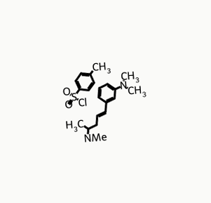 CNC(C)C/C=C/c1cccc(N(C)C)c1.Cc1ccc(S(=O)(=O)Cl)cc1